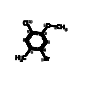 COc1cc(Br)c(C)cc1Cl